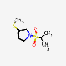 CSC1CCN(S(=O)(=O)C(C)C)C1